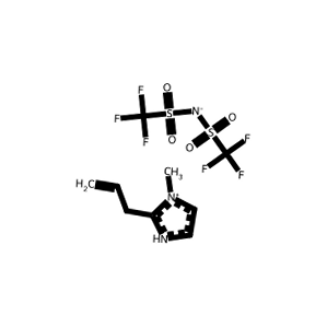 C=CCc1[nH]cc[n+]1C.O=S(=O)([N-]S(=O)(=O)C(F)(F)F)C(F)(F)F